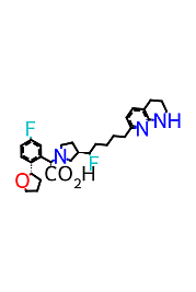 O=C(O)[C@H](c1cc(F)ccc1[C@@H]1CCCO1)N1CC[C@@H](C(F)CCCCc2ccc3c(n2)NCCC3)C1